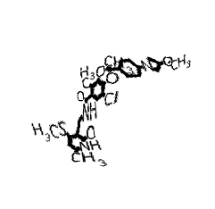 COC1CN(C2CCC(C3(C)Oc4c(Cl)cc(C(=O)NCc5c(SC)cc(C)[nH]c5=O)c(C)c4O3)CC2)C1